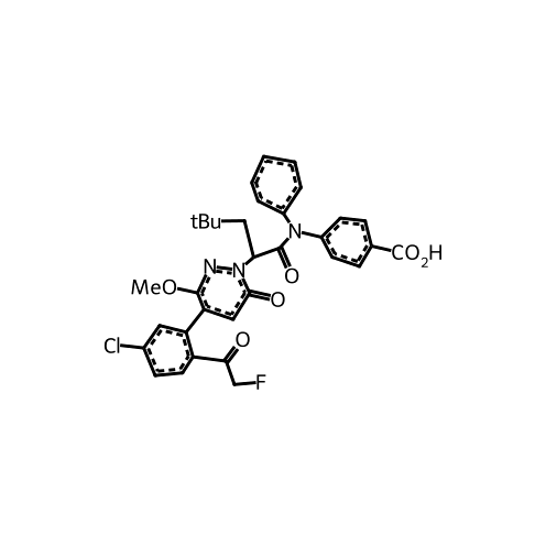 COc1nn(C(CC(C)(C)C)C(=O)N(c2ccccc2)c2ccc(C(=O)O)cc2)c(=O)cc1-c1cc(Cl)ccc1C(=O)CF